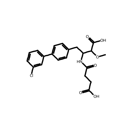 COC(C(=O)O)C(Cc1ccc(-c2cccc(Cl)c2)cc1)NC(=O)CCC(=O)O